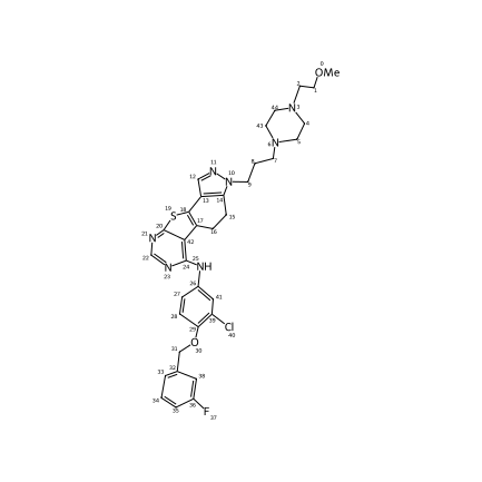 COCCN1CCN(CCCn2ncc3c2CCc2c-3sc3ncnc(Nc4ccc(OCc5cccc(F)c5)c(Cl)c4)c23)CC1